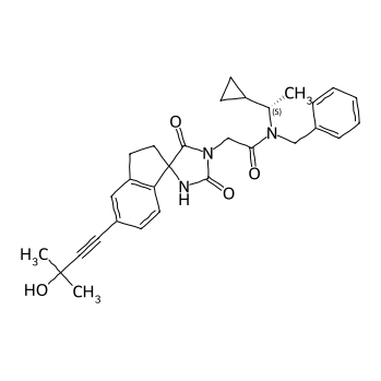 C[C@@H](C1CC1)N(Cc1ccccc1)C(=O)CN1C(=O)NC2(CCc3cc(C#CC(C)(C)O)ccc32)C1=O